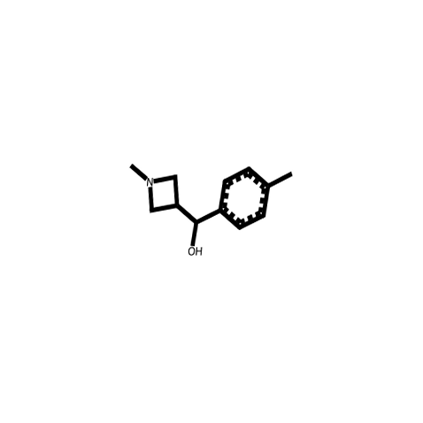 Cc1ccc(C(O)C2CN(C)C2)cc1